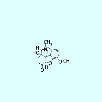 COC1=C2O[C@H]3C(=O)CCC4(O)[C@H]5CC(C=C1)C2[C@@]34CCN5C